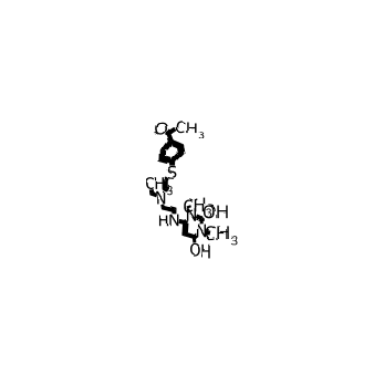 CCN(CCNC1=CC(O)N(C)C(O)N1C)CCSc1ccc(C(C)=O)cc1